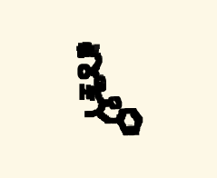 CC(Cc1ccccc1)C(=O)NOC(=O)CC(C)(C)C